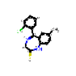 Cc1ccc2c(c1)C(c1ccccc1Cl)=NCC(=S)N2